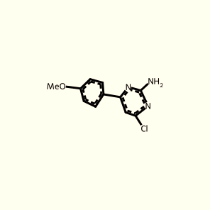 COc1ccc(-c2cc(Cl)nc(N)n2)cc1